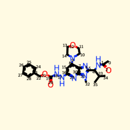 CC(=O)NC(c1nc2c(N3CCOCC3)cc(NNC(=O)OCc3ccccc3)nc2n1C)C(C)C